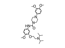 COc1ccc(N2CCN(C(=O)Nc3ccc(OC)c(OCCN(C(C)C)C(C)C)c3)CC2)cc1OC